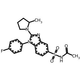 CC(=O)NS(=O)(=O)c1ccc2c(c1)nc(N1CCCC1C)n2-c1ccc(F)cc1